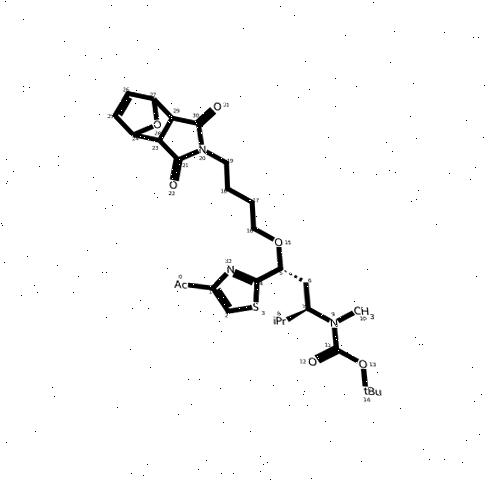 CC(=O)c1csc([C@@H](C[C@H](C(C)C)N(C)C(=O)OC(C)(C)C)OCCCCN2C(=O)C3C4C=CC(O4)C3C2=O)n1